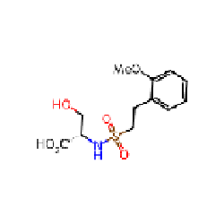 COc1ccccc1CCS(=O)(=O)N[C@@H](CO)C(=O)O